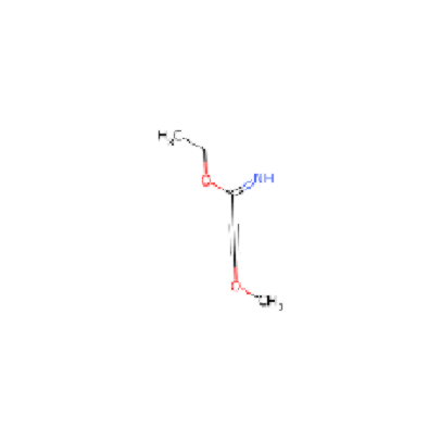 CCOC(=N)C#COC